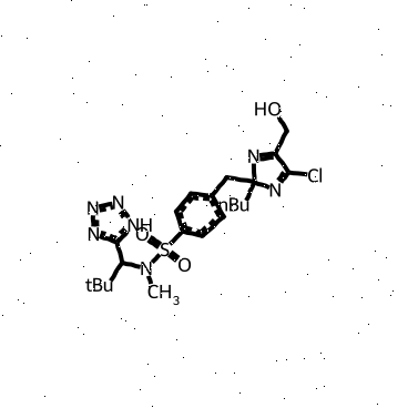 CCCCC1(Cc2ccc(S(=O)(=O)N(C)C(c3nnn[nH]3)C(C)(C)C)cc2)N=C(Cl)C(CO)=N1